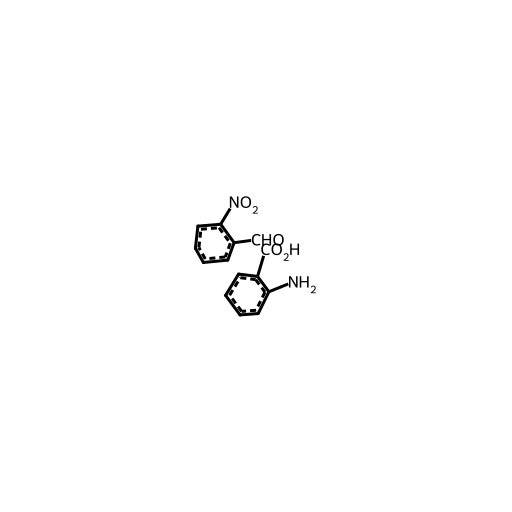 Nc1ccccc1C(=O)O.O=Cc1ccccc1[N+](=O)[O-]